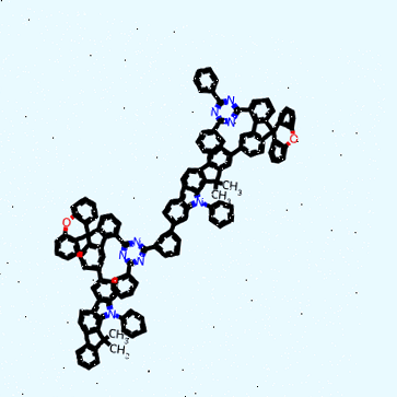 CC1(C)c2ccccc2-c2ccc3c4cc(-c5ccc6c(c5)-c5c(-c7nc(-c8ccccc8)nc(-c8cccc(-c9ccc%10c%11ccc%12c(c%11n(-c%11ccccc%11)c%10c9)C(C)(C)c9cc(-c%10ccc%11c(c%10)-c%10c(-c%13nc(-c%14ccccc%14)nc(-c%14ccccc%14)n%13)cccc%10C%11%10c%11ccccc%11Oc%11ccccc%11%10)ccc9-%12)c8)n7)cccc5C65c6ccccc6Oc6ccccc65)ccc4n(-c4ccccc4)c3c21